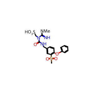 CNC(=N)N(CS(=O)(=O)O)C(=O)NCc1ccc(Oc2ccccc2)c(S(C)(=O)=O)c1